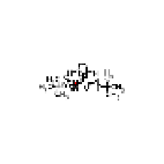 CC(C)(C)CNC(=O)[C@@H]1[C@H](NC(=O)OC(C)(C)C)[C@@H]2CC[C@H]1/C2=C/C1CC1